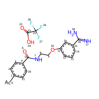 CC(=O)c1ccc(C(=O)NCCOc2cccc(C(=N)N)c2)cc1.O=C(O)C(F)(F)F